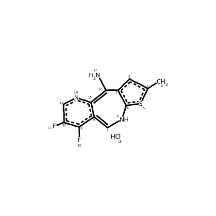 Cc1cc2c(s1)NC=c1c(F)c(F)cnc1=C2N.Cl